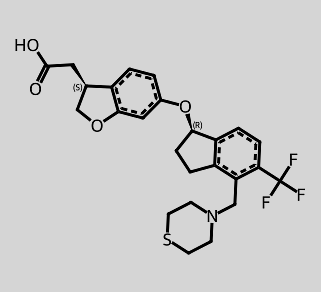 O=C(O)C[C@@H]1COc2cc(O[C@@H]3CCc4c3ccc(C(F)(F)F)c4CN3CCSCC3)ccc21